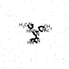 CC(=O)N1C[C@H](c2nc(Nc3ccnc(C)c3)cc(-c3cncc4[nH]ncc34)n2)CC[C@@H]1C